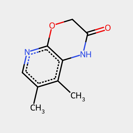 Cc1cnc2c(c1C)NC(=O)CO2